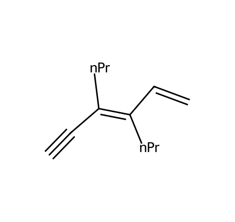 C#CC(CCC)=C(C=C)CCC